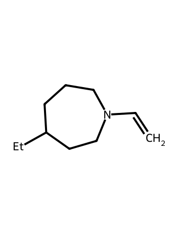 C=CN1CCCC(CC)CC1